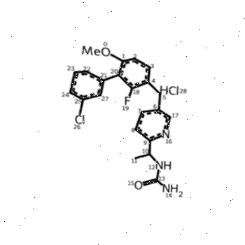 COc1ccc(Cc2ccc(C(C)NC(N)=O)nc2)c(F)c1-c1cccc(Cl)c1.Cl